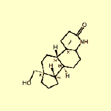 C[C@]12CCC(=O)NC1CC[C@H]1[C@@H]3CCC[C@@]3(CO)CC[C@@H]12